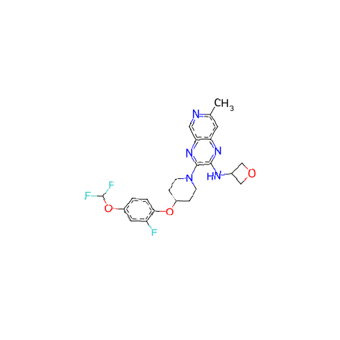 Cc1cc2nc(NC3COC3)c(N3CCC(Oc4ccc(OC(F)F)cc4F)CC3)nc2cn1